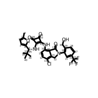 Cc1ccc([C@H](Nc2c(Nc3ccc(Cl)c4c3C(=O)N(c3cc(C(F)(F)F)ccc3CO)C4)c(=O)c2=O)C(C)(C)C)o1